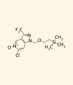 C[Si](C)(C)CCOCn1nc(C(F)(F)F)c2c[n+]([O-])c(Cl)cc21